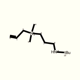 C=CC[N+](C)(C)CCCNC(C)(C)C